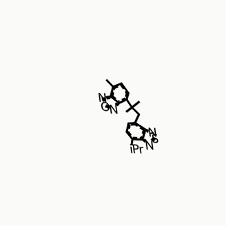 Cc1ccc(C(C)(C)Cc2ccc(C(C)C)c3nsnc23)c2nonc12